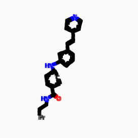 CC(C)CCNC(=O)c1ccc(Nc2cccc(C=Cc3ccncc3)c2)cc1